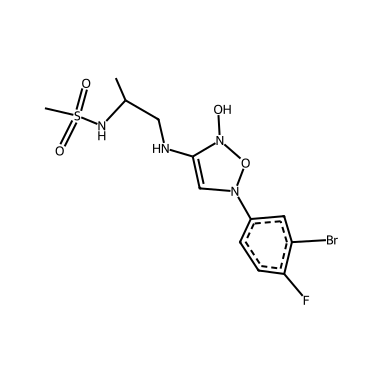 CC(CNC1=CN(c2ccc(F)c(Br)c2)ON1O)NS(C)(=O)=O